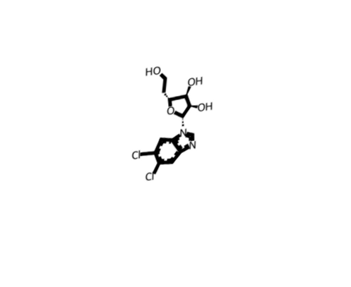 OCC[C@H]1O[C@@H](n2cnc3cc(Cl)c(Cl)cc32)[C@H](O)[C@@H]1O